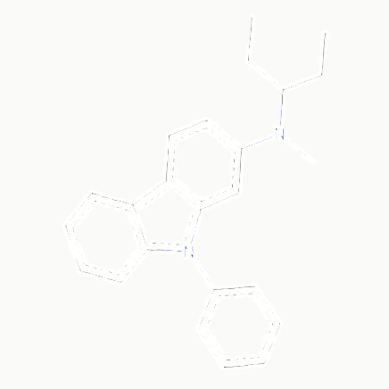 CCC(CC)N(C)c1ccc2c3ccccc3n(-c3ccccc3)c2c1